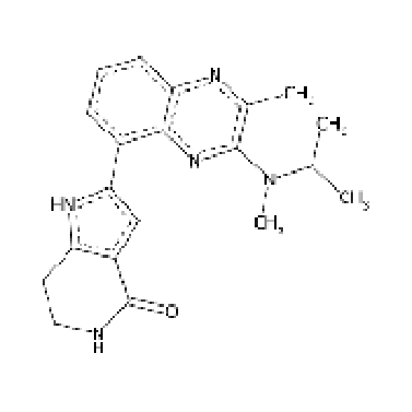 Cc1nc2cccc(-c3cc4c([nH]3)CCNC4=O)c2nc1N(C)C(C)C